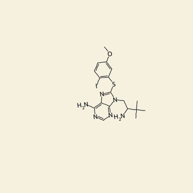 COc1ccc(I)c(Sc2nc3c(N)ncnc3n2CC(N)C(C)(C)C)c1